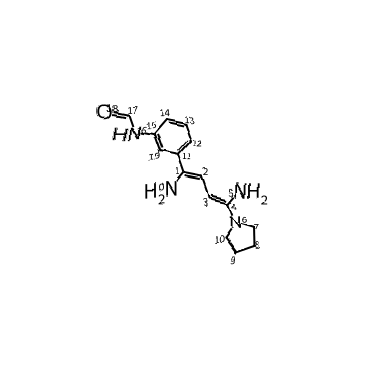 N/C(=C\C=C(/N)N1CCCC1)c1cccc(NC=O)c1